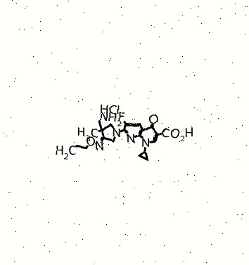 C=CCON=C1CN(c2nc3c(cc2F)c(=O)c(C(=O)O)cn3C2CC2)CC1(C)CN.Cl